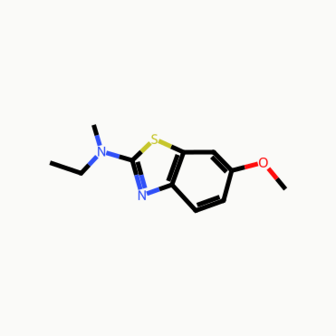 CCN(C)c1nc2ccc(OC)cc2s1